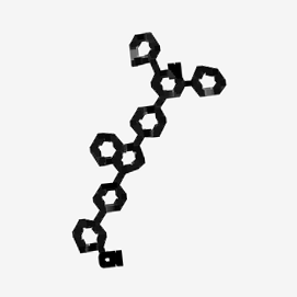 N#Cc1cccc(-c2ccc(-c3ccc(-c4ccc(-c5cc(-c6ccccc6)nc(-c6ccccc6)c5)cc4)c4ccccc34)cc2)c1